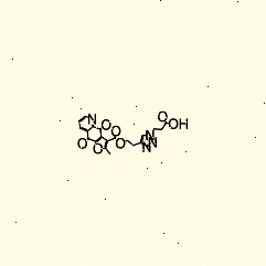 Cc1oc2c(c1C(=O)OCCc1cn(CCC(=O)O)nn1)C(=O)c1ncccc1C2=O